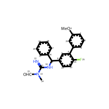 COc1cccc(-c2cc(C(NC(=N)N(C)C=O)c3ccccc3)ccc2F)c1